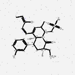 C/C=C(Cl)\C=C/C1=CC(C)[C@@H](CS(=O)(=O)C(C)C)N2C(=O)[C@@](C)(CC(=O)O)C[C@H](c3cccc(Cl)c3)[C@@H]12